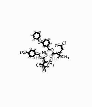 CC1(C)C(C=C(Cl)Cl)C1C(=O)O[C@H](C#N)c1cccc(Oc2ccccc2)c1.CCc1nn(C)c(C(=O)NCc2ccc(C(C)(C)C)cc2)c1Cl